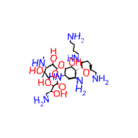 CN[C@@H]1[C@@H](O)[C@@H](O[C@H]2[C@H](NC(=O)C(O)C(O)CN)C[C@H](N)C([C@H]3OC(CN)=CC[C@H]3NCCCCN)[C@@H]2O)OC[C@]1(C)O